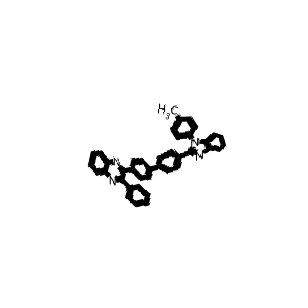 Cc1ccc(-n2c(-c3ccc(-c4ccc(-c5nc6ccccc6nc5-c5ccccc5)cc4)cc3)nc3ccccc32)cc1